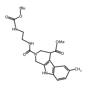 COC(=O)C1CN(C(=O)NCCNC(=O)OC(C)(C)C)Cc2[nH]c3ccc(C)cc3c21